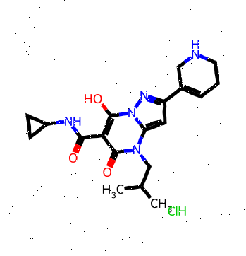 CC(C)Cn1c(=O)c(C(=O)NC2CC2)c(O)n2nc(C3=CCCNC3)cc12.Cl